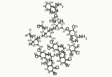 COc1cc2c(N)nc(-c3ccc(Br)c(Cl)c3F)nc2cc1OCC1C[C@H]2CNC[C@H]2C1.COc1cc2c(Nc3ccc(Br)c(Cl)c3F)ncnc2cc1OCC1C[C@@H]2CN(C(C)=O)C[C@@H]2C1.COc1cc2c(Nc3ccc(Br)c(Cl)c3F)ncnc2cc1OCC1C[C@@H]2CN(C(C)C)C[C@@H]2C1.COc1nc(N)c2ccccc2n1